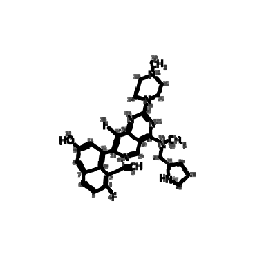 C#Cc1c(F)ccc2cc(O)cc(-c3ncc4c(N(C)C[C@H]5CCCN5)nc(N5CCN(C)CC5)nc4c3F)c12